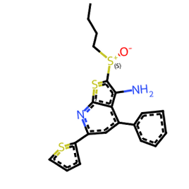 CCCC[S@@+]([O-])c1sc2nc(-c3cccs3)cc(-c3ccccc3)c2c1N